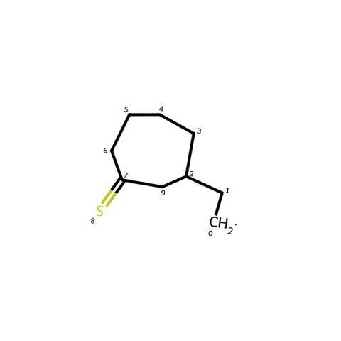 [CH2]CC1CCCCC(=S)C1